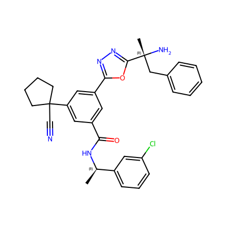 C[C@@H](NC(=O)c1cc(-c2nnc([C@](C)(N)Cc3ccccc3)o2)cc(C2(C#N)CCCC2)c1)c1cccc(Cl)c1